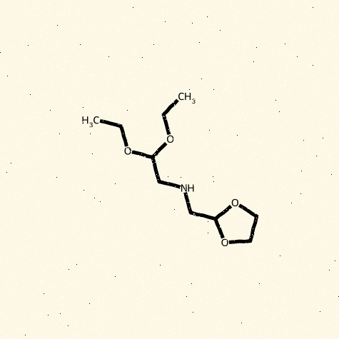 CCOC(CNCC1OCCO1)OCC